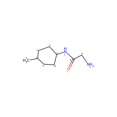 CC1CCC(NC(=O)CN)CC1